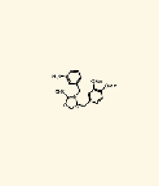 COc1ccc(C[C@H]2COC(C=O)N2Cc2cccc(N)c2)cc1OC